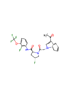 CC(=O)c1cn(CC(=O)N2C[C@H](F)C[C@H]2C(=O)Nc2cccc(OC(F)(F)F)c2F)c2ccccc12